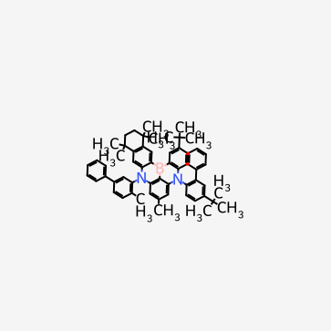 Cc1cc2c3c(c1)N(c1ccc(C(C)(C)C)cc1-c1ccccc1)c1ccc(C(C)(C)C)cc1B3c1cc3c(cc1N2c1cc(-c2ccccc2)ccc1C)C(C)(C)CCC3(C)C